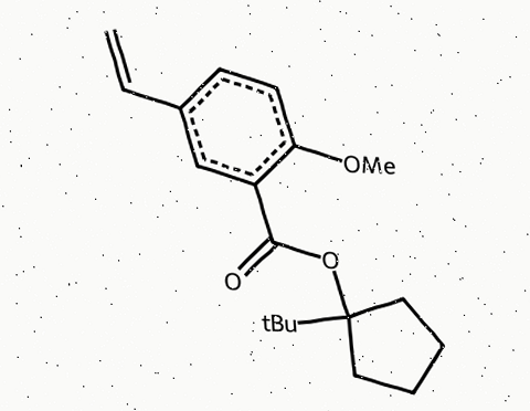 C=Cc1ccc(OC)c(C(=O)OC2(C(C)(C)C)CCCC2)c1